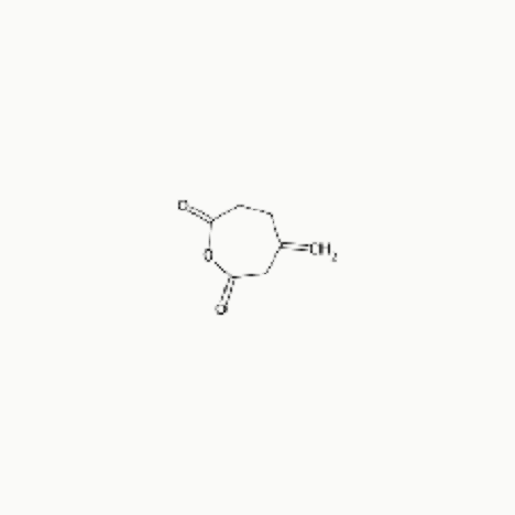 C=C1CCC(=O)OC(=O)C1